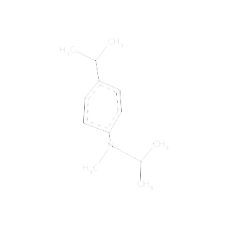 CC(C)c1ccc(N(C)C(C)C)cc1